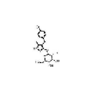 CCc1ccc(Cc2c(OC3O[C@H](CO)[C@@H](O)[C@H](O)[C@H]3O)n[nH]c2C)cc1